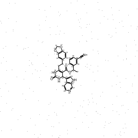 CC(OC(=O)C1=C(CCc2ccc3c(c2)OCO3)NC(=O)NC1c1c[nH]c2cnccc12)c1cccc(C#N)c1